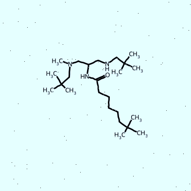 CN(CC(CNCC(C)(C)C)NC(=O)CCCCCC(C)(C)C)CC(C)(C)C